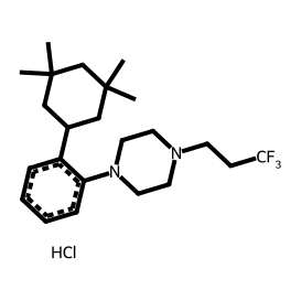 CC1(C)CC(c2ccccc2N2CCN(CCC(F)(F)F)CC2)CC(C)(C)C1.Cl